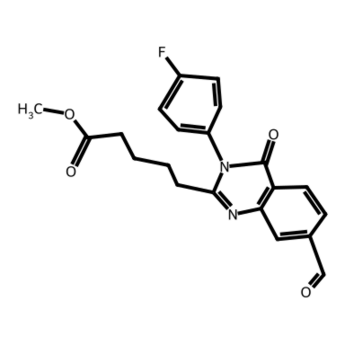 COC(=O)CCCCc1nc2cc(C=O)ccc2c(=O)n1-c1ccc(F)cc1